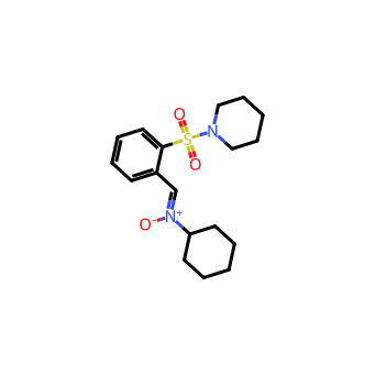 O=S(=O)(c1ccccc1C=[N+]([O-])C1CCCCC1)N1CCCCC1